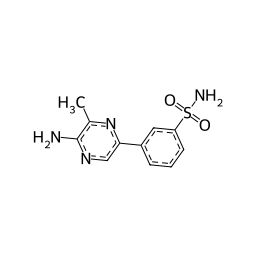 Cc1nc(-c2cccc(S(N)(=O)=O)c2)cnc1N